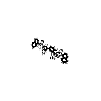 O=C(O)N[C@@H](Cc1ccc([C@@H]2CN[C@H](C(=O)N[C@@H]3CCCc4ccccc43)C2)cc1)C(=O)N[C@@H]1CCCc2ccccc21